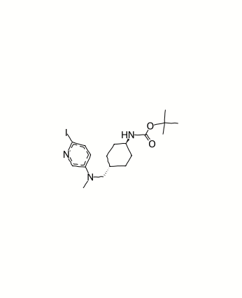 CN(C[C@H]1CC[C@H](NC(=O)OC(C)(C)C)CC1)c1ccc(I)nc1